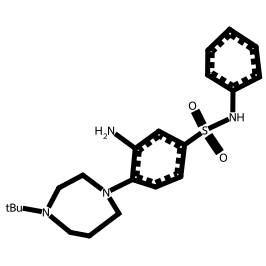 CC(C)(C)N1CCCN(c2ccc(S(=O)(=O)Nc3ccccc3)cc2N)CC1